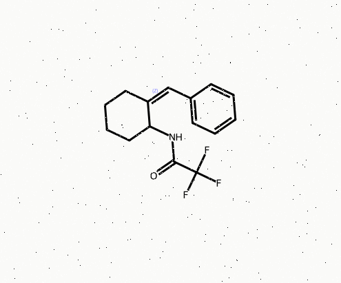 O=C(NC1CCCC/C1=C/c1ccccc1)C(F)(F)F